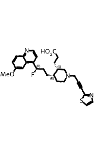 COc1ccc2nccc([C@H](F)CC[C@@H]3CCN(CC#Cc4nccs4)C[C@H]3CCC(=O)O)c2c1